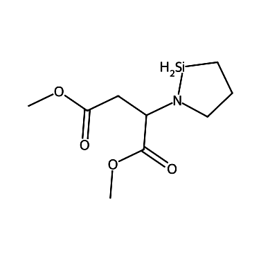 COC(=O)CC(C(=O)OC)N1CCC[SiH2]1